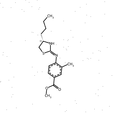 CCCC[C@H]1CSC(=Nc2ccc(C(=O)OC)cc2C)N1